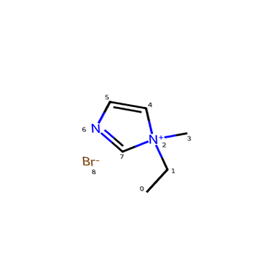 CC[N+]1(C)C=CN=C1.[Br-]